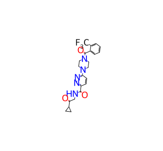 O=C(NCC(=O)C1CC1)c1ccc(N2CCN(C(=O)c3ccccc3C(F)(F)F)CC2)nn1